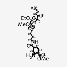 CCOC(=O)C(C)(COP(=O)(OC)OCCCCNC(=O)c1ccc(C(=O)OC)c(N)c1)C(=O)CSC(C)=O